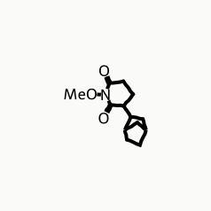 CON1C(=O)CCC(C2CC3CCC2C3)C1=O